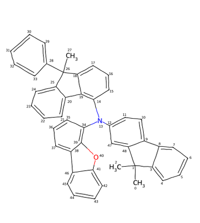 CC1(C)c2ccccc2-c2ccc(N(c3cccc4c3-c3ccccc3C4(C)c3ccccc3)c3cccc4c3oc3ccccc34)cc21